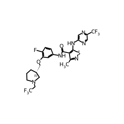 Cc1nsc(Nc2cnc(C(F)(F)F)cn2)c1C(=O)Nc1ccc(F)c(OC[C@H]2CCCN(CC(F)(F)F)C2)c1